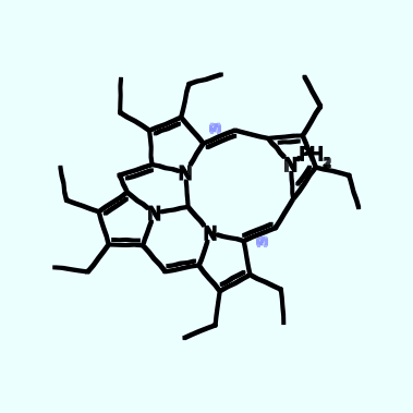 CCc1c(CC)c2n(P)c1/C=c1/c(CC)c(CC)c3n1C1n4c(c(CC)c(CC)c4C=c4c(CC)c(CC)/c(n41)=C/2)C=3